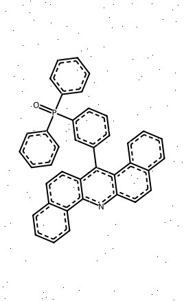 O=P(c1ccccc1)(c1ccccc1)c1cccc(-c2c3ccc4ccccc4c3nc3ccc4ccccc4c23)c1